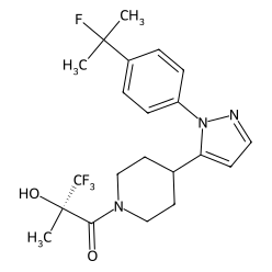 CC(C)(F)c1ccc(-n2nccc2C2CCN(C(=O)[C@@](C)(O)C(F)(F)F)CC2)cc1